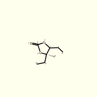 CCC1OC(=O)O[C@]1(C)CC